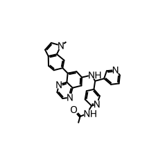 CC(=O)Nc1ccc(C(Nc2cc(-c3ccc4ccn(C)c4c3)c3nccnc3c2)c2cccnc2)cn1